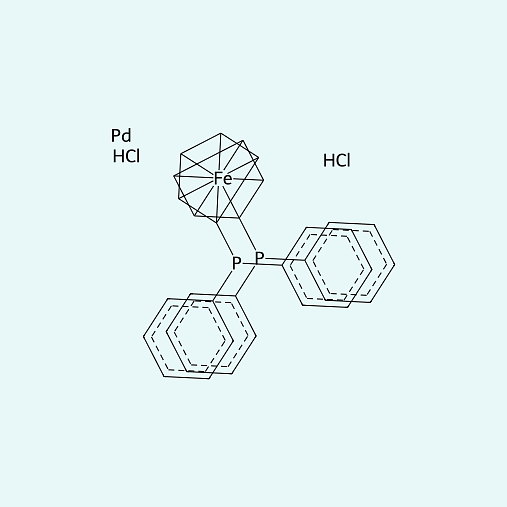 Cl.Cl.[Pd].c1ccc(P(c2ccccc2)[C]23[CH]4[CH]5[CH]6[CH]2[Fe]56432789[CH]3[CH]2[CH]7[C]8(P(c2ccccc2)c2ccccc2)[CH]39)cc1